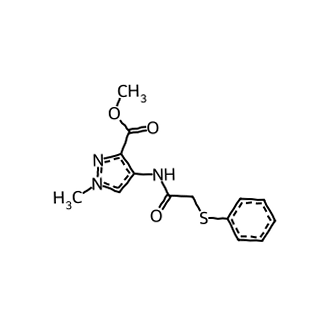 COC(=O)c1nn(C)cc1NC(=O)CSc1ccccc1